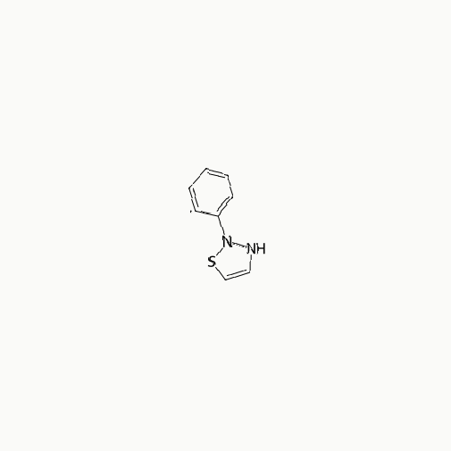 [c]1ccccc1N1NC=CS1